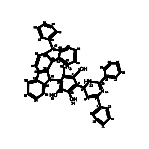 Cc1c(O)c(C2N=C(c3ccccc3)N=C(c3ccccc3)N2)c(O)c(O)c1-n1c2c(c3ccccc31)C=CC1C2c2ccccc2N1c1ccccc1